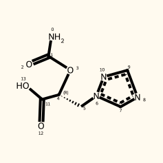 NC(=O)O[C@H](Cn1cncn1)C(=O)O